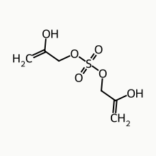 C=C(O)COS(=O)(=O)OCC(=C)O